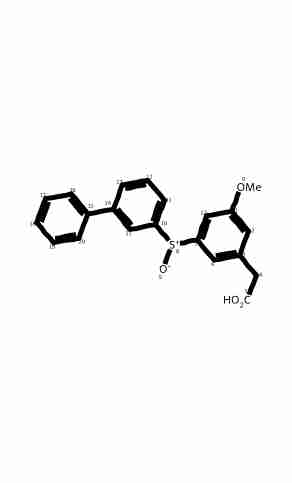 COc1cc(CC(=O)O)cc([S+]([O-])c2cccc(-c3ccccc3)c2)c1